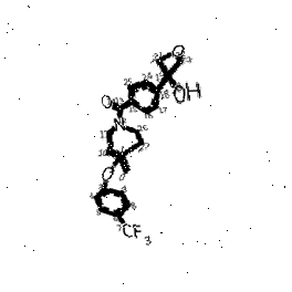 CC1(Oc2ccc(C(F)(F)F)cc2)CCN(C(=O)c2ccc(C3(O)COC3)cc2)CC1